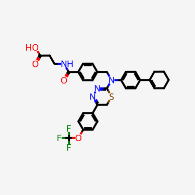 O=C(O)CCNC(=O)c1ccc(CN(C2=NN=C(c3ccc(OC(F)(F)F)cc3)CS2)c2ccc(C3=CCCCC3)cc2)cc1